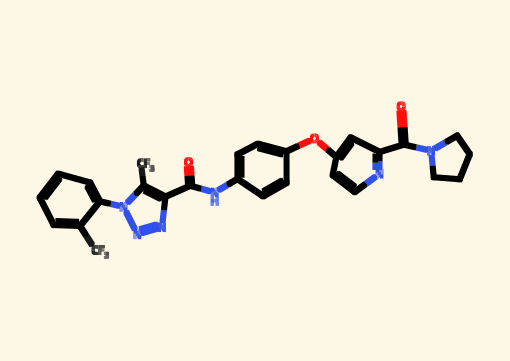 O=C(Nc1ccc(Oc2ccnc(C(=O)N3CCCC3)c2)cc1)c1nnn(-c2ccccc2C(F)(F)F)c1C(F)(F)F